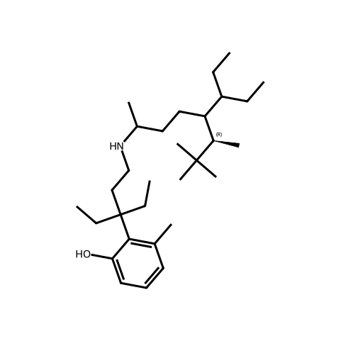 CCC(CC)C(CCC(C)NCCC(CC)(CC)c1c(C)cccc1O)[C@@H](C)C(C)(C)C